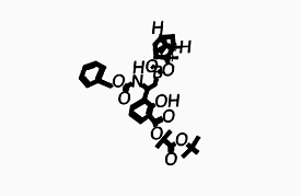 CC(C)(C)OC(=O)C(C)(C)OC(=O)c1cccc(C(CB2OC3C[C@@H]4C[C@@H](C4(C)C)[C@]3(C)O2)NC(=O)OCc2ccccc2)c1O